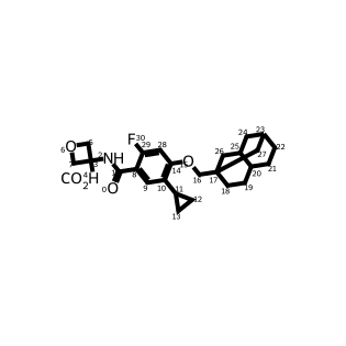 O=C(NC1(C(=O)O)COC1)c1cc(C2CC2)c(OCC23CCC4CCC(CC4C2)C3)cc1F